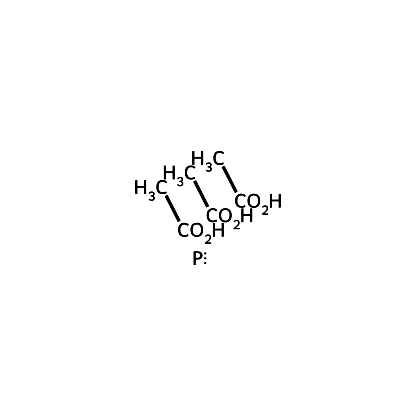 CC(=O)O.CC(=O)O.CC(=O)O.[P]